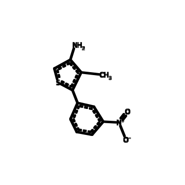 Cc1c(N)csc1-c1cccc([N+](=O)[O-])c1